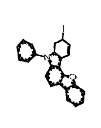 IC1C=Cc2c(n(-c3ccccc3)c3ccc4c5ccccc5oc4c23)C1